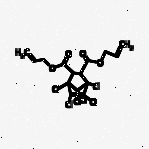 C=CCOC(=O)C1C(C(=O)OCC=C)C2(Cl)C(Cl)=C(Cl)C1(Cl)C2(Cl)Cl